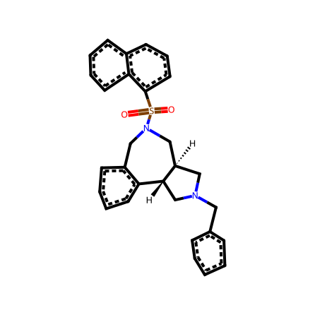 O=S(=O)(c1cccc2ccccc12)N1Cc2ccccc2[C@H]2CN(Cc3ccccc3)C[C@@H]2C1